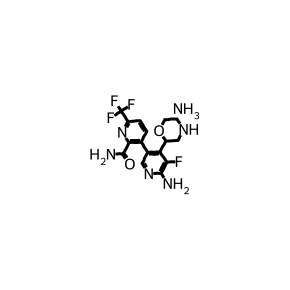 N.NC(=O)c1nc(C(F)(F)F)ccc1-c1cnc(N)c(F)c1C1CNCCO1